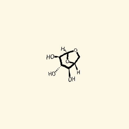 O[C@@H]1[C@@H](O)[C@H]2OC[C@@H](O2)[C@H]1O